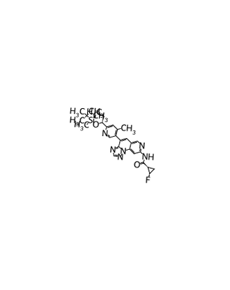 CC[C@H](O[Si](C)(C)C(C)(C)C)c1cc(C)c(-c2cc3cnc(NC(=O)[C@H]4C[C@H]4F)cc3n3ncnc23)cn1